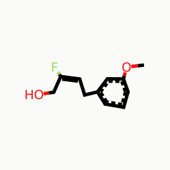 COc1cccc(C/C=C(/F)CO)c1